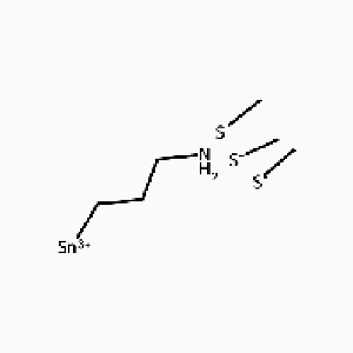 C[S-].C[S-].C[S-].NCC[CH2][Sn+3]